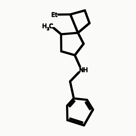 CCC1CCC12CC(NCc1ccccc1)CC2C